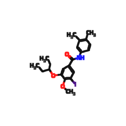 CCC(CC)Oc1cc(C(=O)Nc2ccc(C)c(C)c2)cc(I)c1OC